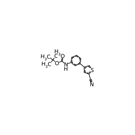 CC(C)(C)OC(=O)Nc1cccc(-c2csc(C#N)c2)c1